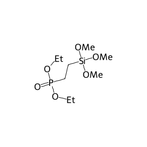 CCOP(=O)(CC[Si](OC)(OC)OC)OCC